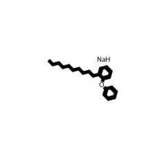 CCCCCCCCCCc1ccccc1Oc1ccccc1.[NaH]